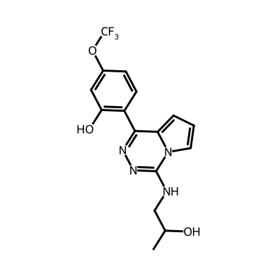 CC(O)CNc1nnc(-c2ccc(OC(F)(F)F)cc2O)c2cccn12